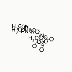 Cc1c(-c2ccc3cc4n(c3c2)CC(NC(=O)OC(C)(C)C)C4)nc(OCc2ccccc2)c(C(=O)OCc2ccccc2)c1OCc1ccccc1